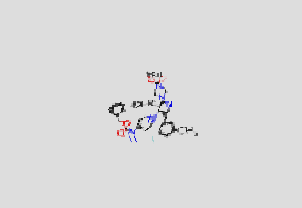 Cc1cc(F)cc(-c2cnc(N3CCN(C(=O)OC(C)(C)C)CC3)c(C=O)c2N2CCC(NC(=O)OCc3ccccc3)CC2)c1